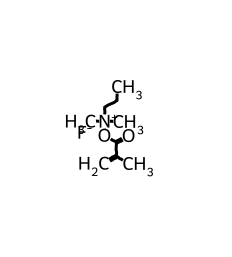 C=C(C)C(=O)O[N+](C)(C)CCC.[F-]